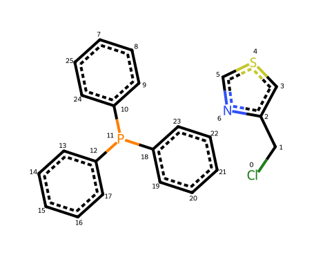 ClCc1cscn1.c1ccc(P(c2ccccc2)c2ccccc2)cc1